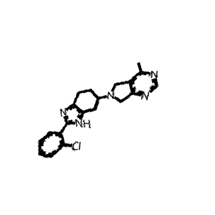 Cc1ncnc2c1CN(C1CCc3nc(-c4ccccc4Cl)[nH]c3C1)C2